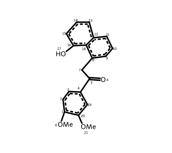 COc1ccc(C(=O)Cc2cccc3cccc(O)c23)cc1OC